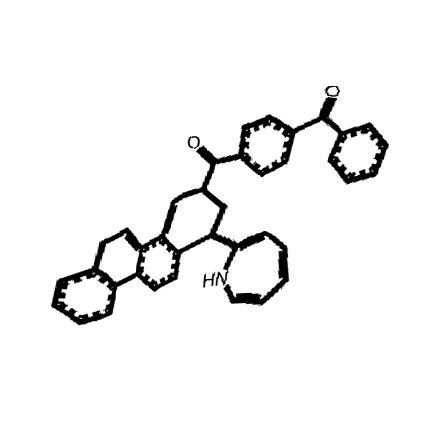 O=C(c1ccccc1)c1ccc(C(=O)C2C=c3c(ccc4c3=CCc3ccccc3-4)C(C3=CC=CC=CN3)C2)cc1